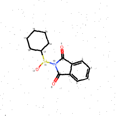 O=C1c2ccccc2C(=O)N1[S+]([O-])C1CCCCC1